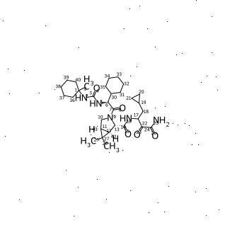 CC1(NC(=O)N[C@H](C(=O)N2C[C@H]3[C@@H]([C@H]2C(=O)NC(CC2CC2)C(=O)C(N)=O)C3(C)C)C2CCCCC2)CCCCC1